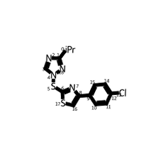 CC(C)c1ncn(Sc2nc(-c3ccc(Cl)cc3)cs2)n1